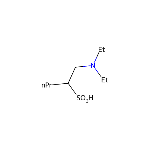 CCCC(CN(CC)CC)S(=O)(=O)O